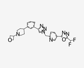 FC(F)c1nnc(-c2ccc(Cn3cc(-c4cccc(C5CCN(C6COC6)CC5)c4)nn3)nc2)o1